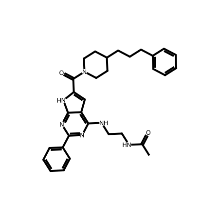 CC(=O)NCCNc1nc(-c2ccccc2)nc2[nH]c(C(=O)N3CCC(CCCc4ccccc4)CC3)cc12